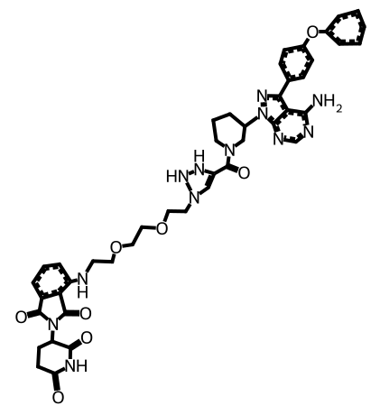 Nc1ncnc2c1c(-c1ccc(Oc3ccccc3)cc1)nn2C1CCCN(C(=O)C2=CN(CCOCCOCCNc3cccc4c3C(=O)N(C3CCC(=O)NC3=O)C4=O)NN2)C1